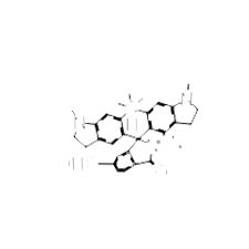 CN1CCc2cc3c(cc21)[SH](C)(C)(C)c1cc2c(cc1C31c3cc(C=O)ccc3C(=O)N1C#N)CCN2C